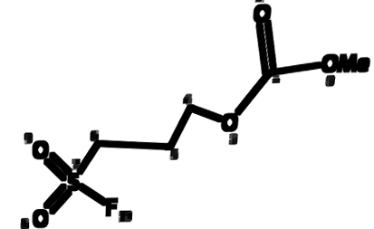 COC(=O)OCCCS(=O)(=O)F